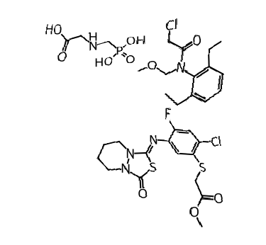 CCc1cccc(CC)c1N(COC)C(=O)CCl.COC(=O)CSc1cc(/N=c2\sc(=O)n3n2CCCC3)c(F)cc1Cl.O=C(O)CNCP(=O)(O)O